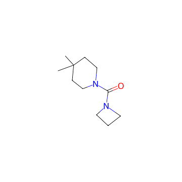 CC1(C)CCN(C(=O)N2CCC2)CC1